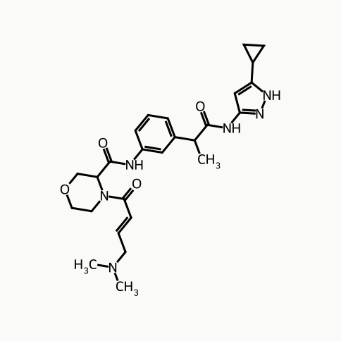 CC(C(=O)Nc1cc(C2CC2)[nH]n1)c1cccc(NC(=O)C2COCCN2C(=O)/C=C/CN(C)C)c1